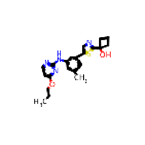 CCCOc1ccnc(Nc2cc(C)cc(-c3cnc(C4(O)CCC4)s3)c2)n1